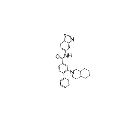 O=C(NC1=CCC2SC=NC2=C1)c1ccc(-c2ccccc2)c(N2CCC3CCCCC3C2)c1